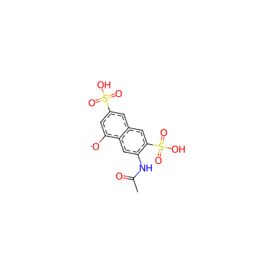 CC(=O)Nc1cc2c([O])cc(S(=O)(=O)O)cc2cc1S(=O)(=O)O